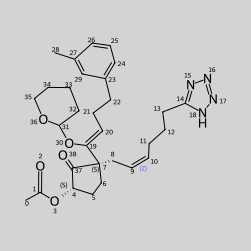 CC(=O)O[C@H]1CC[C@](C/C=C\CCCc2nnn[nH]2)(C(=CCCc2cccc(C)c2)OC2CCCCO2)C1=O